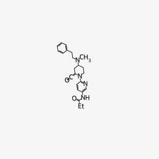 CCC(=O)Nc1ccc(N2CCC(N(C)CCc3ccccc3)CC2=C=O)nc1